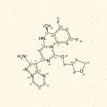 C[C@H](Nc1cc(-c2c(N)nn3cccnc23)nc(OCC2CCOC2)n1)c1ccc(F)cc1F